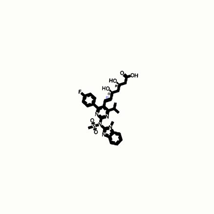 CC(C)c1nc(N(c2nc3ccccc3n2C)S(C)(=O)=O)nc(-c2ccc(F)cc2)c1/C=C/[C@@H](O)C[C@@H](O)CC(=O)O